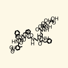 Cc1ccc([N+](=O)[O-])cc1C(=O)N[C@@H](Cc1ccccc1)C(=O)N[C@@H](Cc1ccccc1)C(=O)NCC(=O)NCCNC(=O)[C@H](Cc1ccccc1)NC(=O)CC[C@H](NC(=O)N[C@@H](CCC(=O)O)C(=O)O)C(=O)O